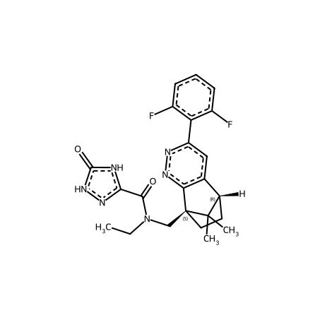 CCN(C[C@@]12CC[C@@H](c3cc(-c4c(F)cccc4F)nnc31)C2(C)C)C(=O)c1n[nH]c(=O)[nH]1